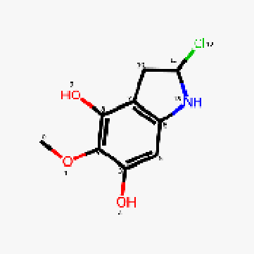 COc1c(O)cc2c(c1O)CC(Cl)N2